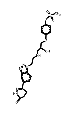 CS(=O)(=O)Oc1ccc(OCC(O)CNCCn2nnc3cc(C4=NNC(=O)CC4)ccc32)cc1